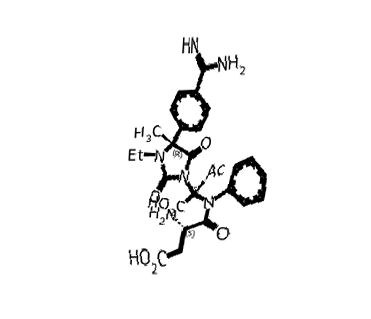 CCN1C(=O)N([C@@](C(C)=O)(C(=O)O)N(C(=O)[C@@H](N)CC(=O)O)c2ccccc2)C(=O)[C@@]1(C)c1ccc(C(=N)N)cc1